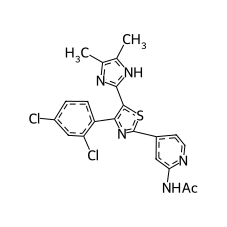 CC(=O)Nc1cc(-c2nc(-c3ccc(Cl)cc3Cl)c(-c3nc(C)c(C)[nH]3)s2)ccn1